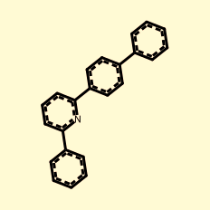 c1ccc(-c2ccc(-c3cccc(-c4ccccc4)n3)cc2)cc1